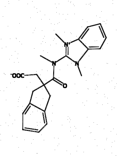 CN(C(=O)C1(CC(=O)[O-])Cc2ccccc2C1)c1n(C)c2ccccc2[n+]1C